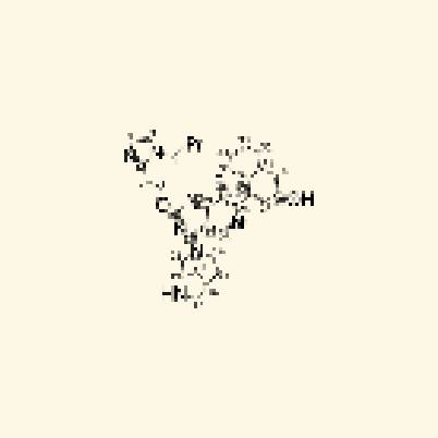 CC(C)Cn1ccnc1CCOc1nc(N2CCC3CNC(C3)C2)c2cnc(-c3cc(O)cc4ccccc34)c(F)c2n1